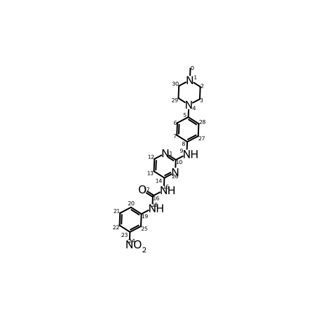 CN1CCN(c2ccc(Nc3nccc(NC(=O)Nc4cccc([N+](=O)[O-])c4)n3)cc2)CC1